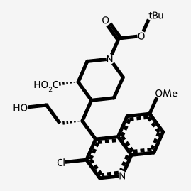 COc1ccc2ncc(Cl)c([C@H](CCO)C3CCN(C(=O)OC(C)(C)C)C[C@H]3C(=O)O)c2c1